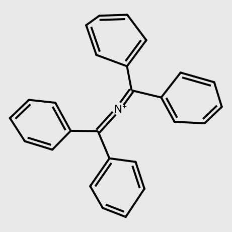 c1ccc(C(=[N+]=C(c2ccccc2)c2ccccc2)c2ccccc2)cc1